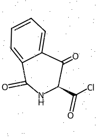 O=C1N[C@H](C(=O)Cl)C(=O)c2ccccc21